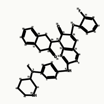 CN(c1ccc(Nc2ncc3cc(Oc4ccccc4F)c(=O)n(C4Cc5ccccc5CC4=O)c3n2)cc1)C1CCCNC1